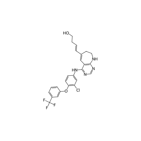 OCC/C=C/C1=Cc2c(ncnc2Nc2ccc(Oc3cccc(C(F)(F)F)c3)c(Cl)c2)NCC1